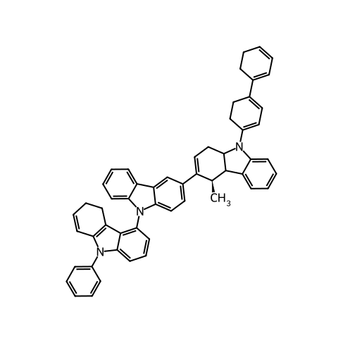 C[C@H]1C(c2ccc3c(c2)c2ccccc2n3-c2cccc3c2c2c(n3-c3ccccc3)C=CCC2)=CCC2C1c1ccccc1N2C1=CC=C(C2=CC=CCC2)CC1